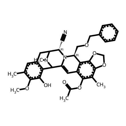 COc1c(C)cc2c(c1O)C1C3=Cc4c(OC(C)=O)c(C)c5c(c4[C@H](COCc4ccccc4)N3[C@@H](C#N)C(C2)N1C)OCO5